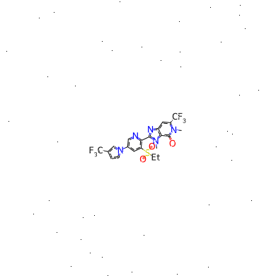 CCS(=O)(=O)c1cc(-n2ccc(C(F)(F)F)c2)cnc1-c1nc2cc(C(F)(F)F)n(C)c(=O)c2n1C